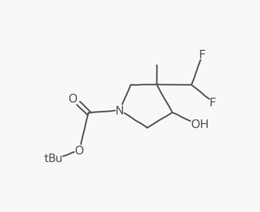 CC(C)(C)OC(=O)N1CC(O)C(C)(C(F)F)C1